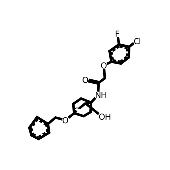 O=C(COc1ccc(Cl)c(F)c1)NC12CCC(OCc3ccccc3)(CC1)CC2O